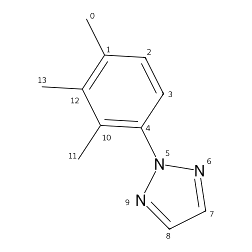 Cc1ccc(-n2nccn2)c(C)c1C